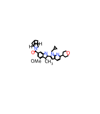 COc1cc(C(=O)N2C[C@H]3CC4C[C@@H]2[C@H]43)cc2c1C(C)C(c1cc3ccc(C4CCOCC4)nc3n1CC1CC1)=N2